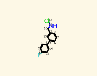 Fc1ccc(-c2cccc(CNCl)c2)cc1